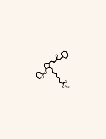 COC(=O)CCCCCCC1C(C=CC(=O)CC2CCCCC2)CCC1OC1CCCCO1